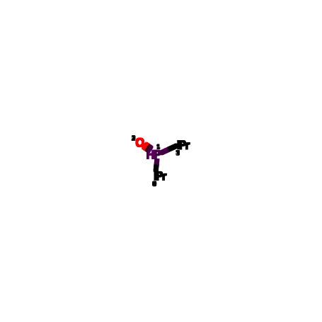 CC(C)[PH](=O)C(C)C